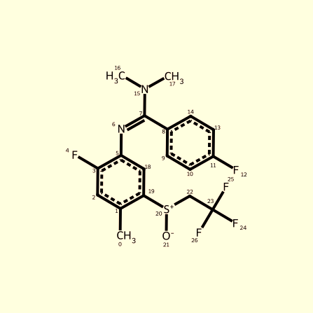 Cc1cc(F)c(/N=C(\c2ccc(F)cc2)N(C)C)cc1[S+]([O-])CC(F)(F)F